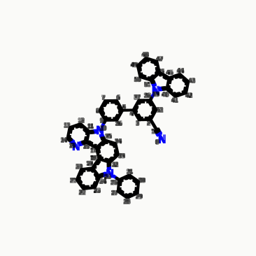 N#Cc1cc(-c2cccc(-n3c4cccnc4c4c5c6ccccc6n(-c6ccccc6)c5ccc43)c2)cc(-n2c3ccccc3c3ccccc32)c1